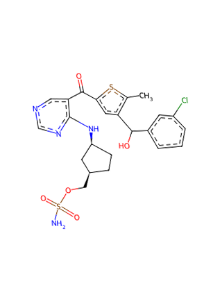 Cc1sc(C(=O)c2cncnc2N[C@H]2CC[C@@H](COS(N)(=O)=O)C2)cc1C(O)c1cccc(Cl)c1